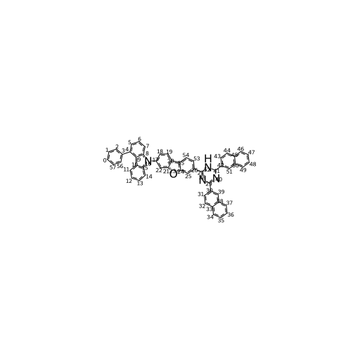 c1ccc(-c2cccc3c2c2ccccc2n3-c2ccc3c(c2)oc2cc(C4=NC(c5ccc6ccccc6c5)=NC(c5ccc6ccccc6c5)N4)ccc23)cc1